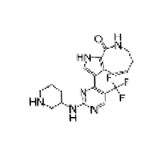 O=C1NCCC=Cc2c(-c3nc(NC4CCCNC4)ncc3C(F)(F)F)c[nH]c21